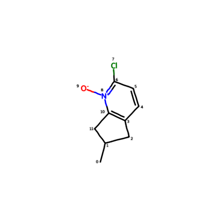 CC1Cc2ccc(Cl)[n+]([O-])c2C1